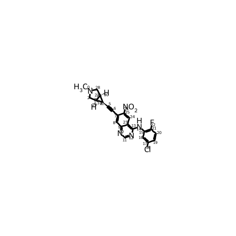 CN1C[C@@H]2[C@H](C#Cc3cc4ncnc(Nc5cc(Cl)ccc5F)c4cc3[N+](=O)[O-])[C@@H]2C1